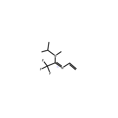 C=C/N=C(\N(C)C(C)C)C(F)(F)F